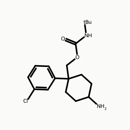 CC(C)(C)NC(=O)OCC1(c2cccc(Cl)c2)CCC(N)CC1